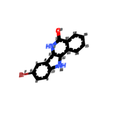 O=c1[nH]c2c3cc(Br)ccc3[nH]c2c2ccccc12